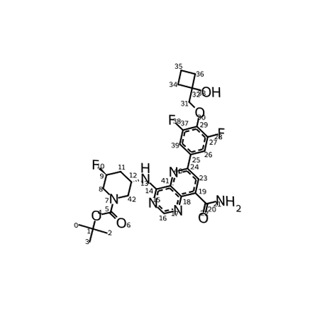 CC(C)(C)OC(=O)N1C[C@@H](F)C[C@H](Nc2ncnc3c(C(N)=O)cc(-c4cc(F)c(OCC5(O)CCC5)c(F)c4)nc23)C1